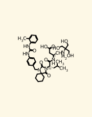 Cc1ccccc1NC(=O)Nc1ccc(CN2C(=O)N([C@@H](CC(C)C)C(=O)N[C@H](C)CC(=O)O)C(=O)C23CCCCC3)cc1.NC(CO)(CO)CO